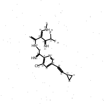 C=C(NCC(=N)c1ncc(C#CC2CC2)cc1Cl)/C(=C/NC)C(=N)C(F)F